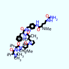 CC[C@H](C)[C@@H]([C@@H](CC(=O)N1CCC[C@H]1[C@H](OC)[C@@H](C)C(=O)N[C@@H](Cc1ccccc1)C(=O)NCc1ccc(NC(=O)[C@H](CCCNC(N)=O)NC)cc1)OC)N(C)C(=O)[C@@H](NC(=O)C(C(C)C)N(C)C)C(C)C